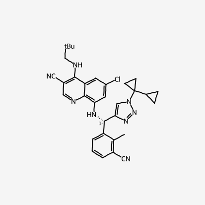 Cc1c(C#N)cccc1[C@H](Nc1cc(Cl)cc2c(NCC(C)(C)C)c(C#N)cnc12)c1cn(C2(C3CC3)CC2)nn1